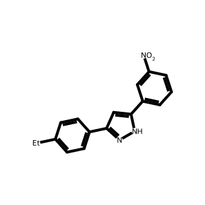 CCc1ccc(-c2cc(-c3cccc([N+](=O)[O-])c3)[nH]n2)cc1